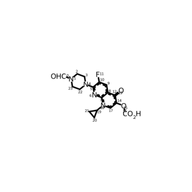 O=CN1CCN(c2nc3c(cc2F)c(=O)c(OC(=O)O)cn3C2CC2)CC1